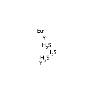 S.S.S.[Eu].[Y].[Y]